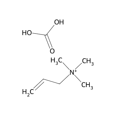 C=CC[N+](C)(C)C.O=C(O)O